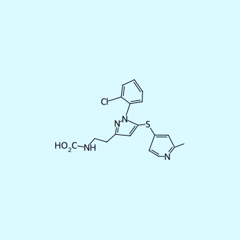 Cc1cc(Sc2cc(CCNC(=O)O)nn2-c2ccccc2Cl)ccn1